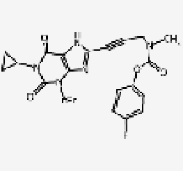 CCCn1c(=O)n(C2CC2)c(=O)c2[nH]c(C#CCN(C)C(=O)Oc3ccc(F)cc3)nc21